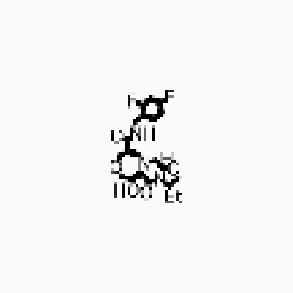 CC[C@H]1CO[C@@H]2CN3/C=C(/C(=O)NCc4ccc(F)cc4F)COC/C(O)=C\3C(=O)N12